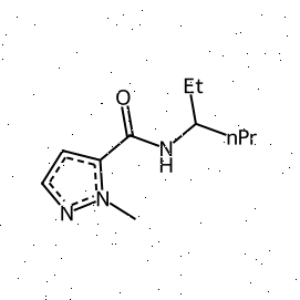 CCCC(CC)NC(=O)c1ccnn1C